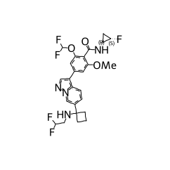 COc1cc(-c2cnn3cc(C4(NCC(F)F)CCC4)ccc23)cc(OC(F)F)c1C(=O)N[C@@H]1C[C@@H]1F